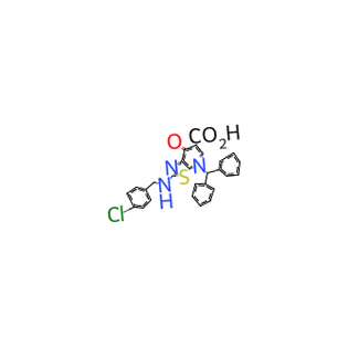 O=C(O)c1cn(C(c2ccccc2)c2ccccc2)c2sc(NCc3ccc(Cl)cc3)nc2c1=O